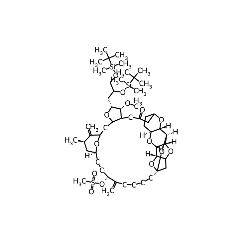 C=C1C2CC3O[C@H](CC(CO[Si](C)(C)C(C)(C)C)O[Si](C)(C)C(C)(C)C)[C@H](OC)C3CC(=O)CC3CC[C@@H]4O[C@@H]5[C@H]6OC7C[C@](CCCCC(=C)[C@H](OS(C)(=O)=O)CC[C@@H](C[C@H]1C)O2)(O[C@H]6[C@H]4O3)O[C@@H]75